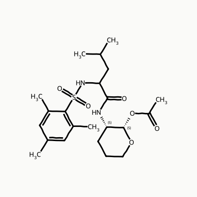 CC(=O)O[C@@H]1OCCC[C@@H]1NC(=O)C(CC(C)C)NS(=O)(=O)c1c(C)cc(C)cc1C